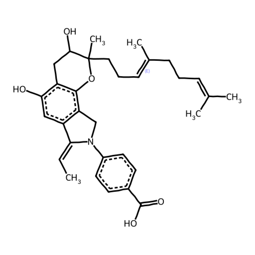 CC=C1c2cc(O)c3c(c2CN1c1ccc(C(=O)O)cc1)OC(C)(CC/C=C(\C)CCC=C(C)C)C(O)C3